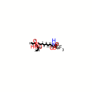 C=CC(=O)OCC(CCCCCC(=O)NS(=O)(=O)C(F)(F)F)OC(O)C=C